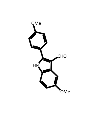 COc1ccc(-c2[nH]c3ccc(OC)cc3c2C=O)cc1